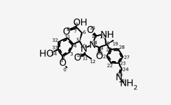 COc1cc([C@@H](CC(=O)O)N(C(C)=O)N2C(=O)N[C@](C)(c3ccc(C=NN)cc3)C2=O)ccc1O